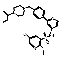 CCC(C)N1CCN(Cc2ccc(-c3cc(NS(=O)(=O)c4cc(Cl)cnc4OC)ccn3)cc2)CC1